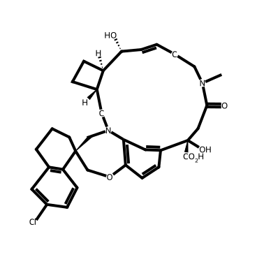 CN1CC/C=C/[C@@H](O)[C@@H]2CC[C@H]2CN2C[C@@]3(CCCc4cc(Cl)ccc43)COc3ccc(cc32)[C@](O)(C(=O)O)CC1=O